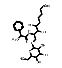 CCCCCCCCCCCCCCC(O)C(O)C(COC1OC(CO)C(O)C(O)C1O)NC(=O)C(OC)c1ccccc1